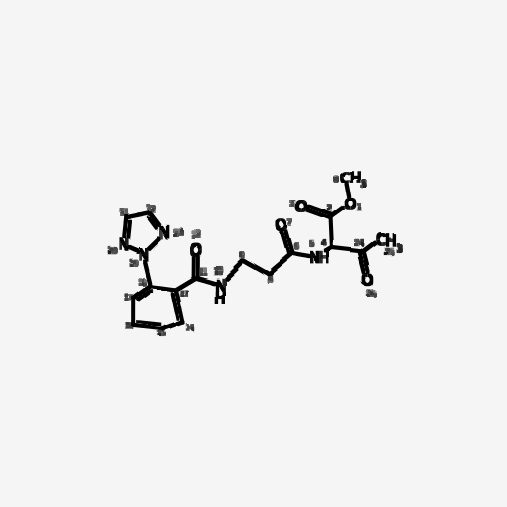 COC(=O)C(NC(=O)CCNC(=O)c1ccccc1-n1nccn1)C(C)=O